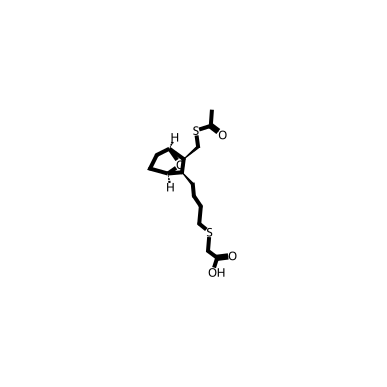 CC(=O)SC[C@H]1[C@@H](CCCCSCC(=O)O)[C@H]2CC[C@@H]1O2